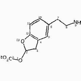 CCOC(=O)OC1Cc2cc(CCN)ccc2O1